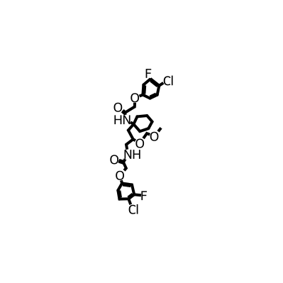 COCOC(CNC(=O)COc1ccc(Cl)c(F)c1)CC1(NC(=O)COc2ccc(Cl)c(F)c2)CCCCC1